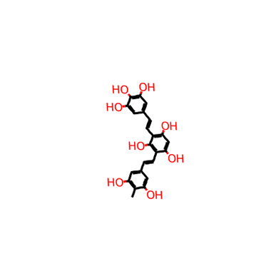 Cc1c(O)cc(/C=C/c2c(O)cc(O)c(/C=C/c3cc(O)c(O)c(O)c3)c2O)cc1O